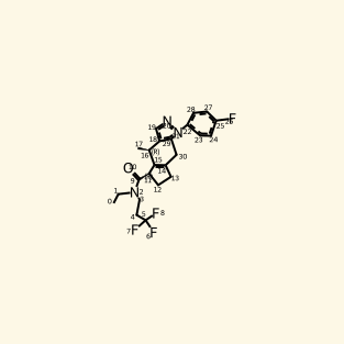 CCN(CCC(F)(F)F)C(=O)[C@@H]1CCC2=C1[C@@H](C)c1cnn(-c3ccc(F)cc3)c1C2